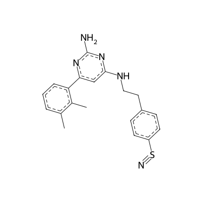 Cc1cccc(-c2cc(NCCc3ccc(S#N)cc3)nc(N)n2)c1C